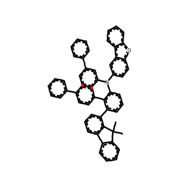 CC1(C)c2ccccc2-c2cccc(-c3cccc(N(c4cccc(-c5ccccc5)c4)c4ccc5oc6ccccc6c5c4)c3-c3ccc(-c4ccccc4)cc3)c21